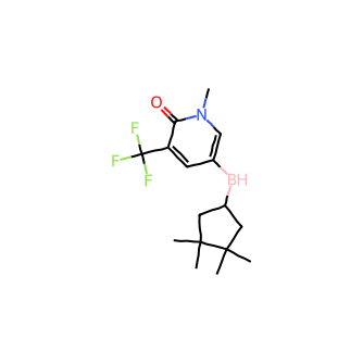 Cn1cc(BC2CC(C)(C)C(C)(C)C2)cc(C(F)(F)F)c1=O